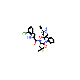 C#C[C@@H]1C[C@@]2(CN1)C(=O)N(C(=O)[C@H](CC(C)(C)F)NC(=O)c1cc3cccc(Cl)c3[nH]1)c1ccccc12